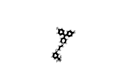 Fc1ccc(C(c2ccc(F)cc2)C2CCN(CCCOc3cccc(C(F)(F)F)c3)CC2)cc1